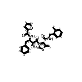 Cc1ccccc1CNC(=O)[C@@H]1C(C)SCN1C(=O)[C@@H](O)C(Cc1ccccc1)NC(=O)c1ccco1